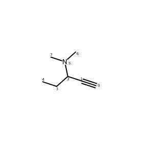 C#CC(CC)N(C)C